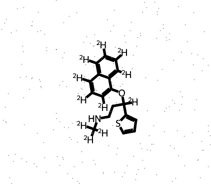 [2H]c1c([2H])c([2H])c2c(OC([2H])(CCNC([2H])([2H])[2H])c3cccs3)c([2H])c([2H])c([2H])c2c1[2H]